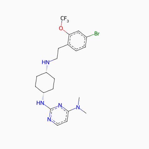 CN(C)c1ccnc(N[C@H]2CC[C@@H](NCCc3ccc(Br)cc3OC(F)(F)F)CC2)n1